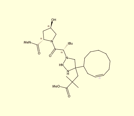 CNC(=O)[C@@H]1C[C@@H](O)CN1C(=O)[C@@H](N1CC(CC(C)(C)C(=O)OC)(C2C/C=C\CCCCCC2)NN1)C(C)(C)C